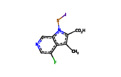 Cc1c(C(=O)O)n(SI)c2cncc(F)c12